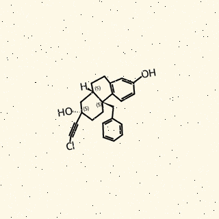 Oc1ccc2c(c1)CC[C@H]1C[C@](O)(C#CCl)CC[C@@]21Cc1ccccc1